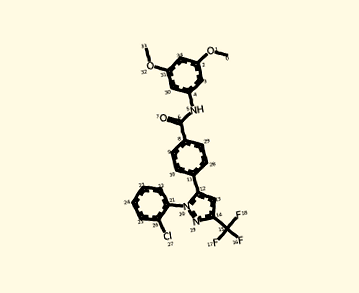 COc1cc(NC(=O)c2ccc(-c3cc(C(F)(F)F)nn3-c3ccccc3Cl)cc2)cc(OC)c1